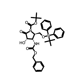 CC(C)(C)OC(=O)N1C(=O)[C@@H](O)[C@@H](NC(=O)OCc2ccccc2)[C@@H]1CO[Si](c1ccccc1)(c1ccccc1)C(C)(C)C